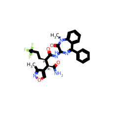 Cc1nocc1[C@H](C(N)=O)[C@@H](CCC(F)(F)F)C(=O)NC1N=C(c2ccccc2)c2ccccc2N(C)C1=O